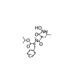 CC(C)C[C@@H](C(=O)NO)C(=O)N(C)[C@@H](Cc1ccccc1)C(=O)OC(C)C